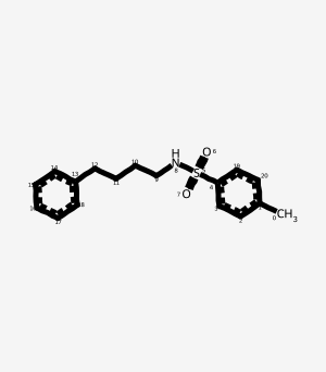 Cc1ccc(S(=O)(=O)NCCCCc2ccccc2)cc1